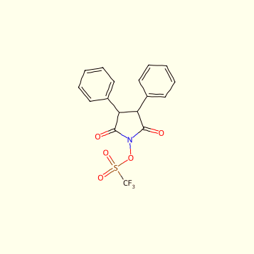 O=C1C(c2ccccc2)C(c2ccccc2)C(=O)N1OS(=O)(=O)C(F)(F)F